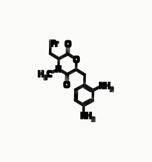 CC(C)CC1C(=O)OC(Cc2ccc(N)cc2N)C(=O)N1C